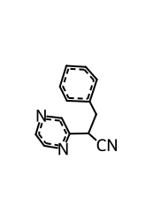 N#CC(Cc1ccccc1)c1cnccn1